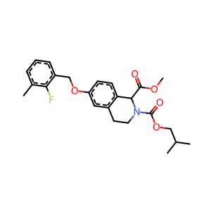 COC(=O)C1c2ccc(OCc3cccc(C)c3F)cc2CCN1C(=O)OCC(C)C